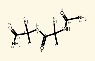 CCC(C)(NC(=O)C(C)(CC)NC(N)=O)C(N)=O